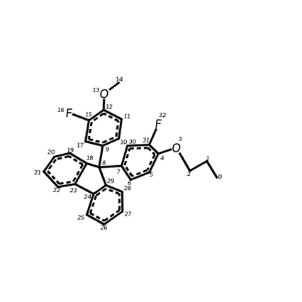 CCCOc1ccc(C2(c3ccc(OC)c(F)c3)c3ccccc3-c3ccccc32)cc1F